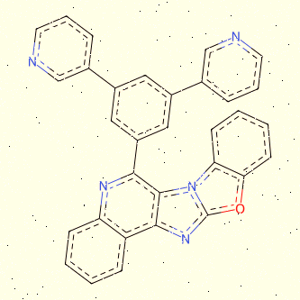 c1cncc(-c2cc(-c3cccnc3)cc(-c3nc4ccccc4c4nc5oc6ccccc6n5c34)c2)c1